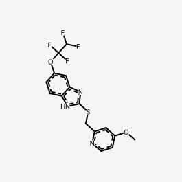 COc1ccnc(CSc2nc3cc(OC(F)(F)C(F)F)ccc3[nH]2)c1